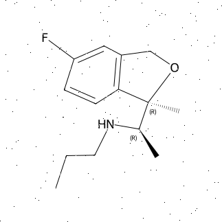 CCCN[C@H](C)[C@]1(C)OCc2cc(F)ccc21